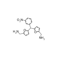 NCc1ccc(C(c2cccc([N+](=O)[O-])c2)c2ccc(CN)o2)o1